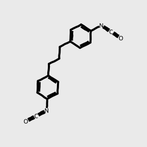 O=C=Nc1ccc(CCCc2ccc(N=C=O)cc2)cc1